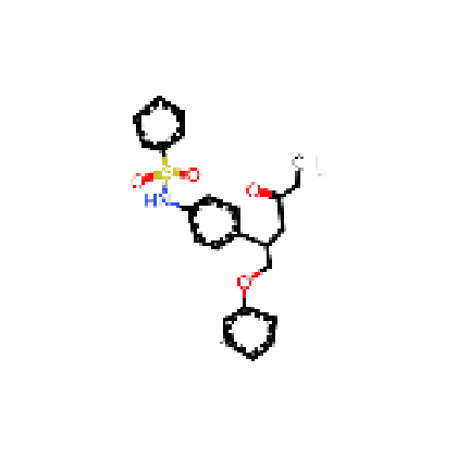 CCC(=O)CC(COc1c[c]ccc1)c1ccc(NS(=O)(=O)c2ccccc2)cc1